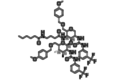 CCCCCC(=O)NCCCC(=O)N[C@H]1C(COCc2ccc(OC)cc2)OCC(NC(=O)Nc2cccc(C(F)(F)F)c2)[C@H]1O[C@@H]1OC(COCc2ccc(OC)cc2)[C@@H](C)[C@H](C)C1NC(=O)Nc1cccc(C(F)(F)F)c1